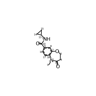 CN1C(=O)CCOc2cc(C(=O)NC3CC3)ccc21